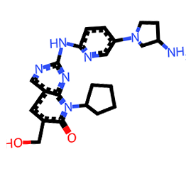 NC1CCN(c2ccc(Nc3ncc4cc(CO)c(=O)n(C5CCCC5)c4n3)nc2)C1